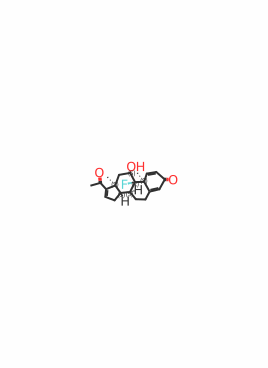 CC(=O)C1=CC[C@H]2[C@@H]3CCC4=CC(=O)C=C[C@]4(C)[C@@]3(F)[C@@H](O)C[C@]12C